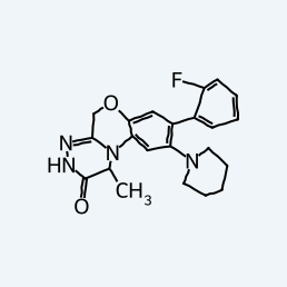 CC1C(=O)NN=C2COc3cc(-c4ccccc4F)c(N4CCCCC4)cc3N21